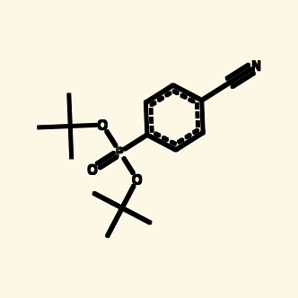 CC(C)(C)OP(=O)(OC(C)(C)C)c1ccc(C#N)cc1